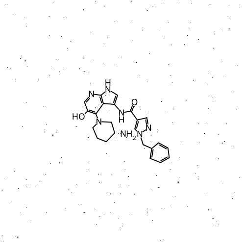 N[C@@H]1CCCN(c2c(O)cnc3[nH]cc(NC(=O)c4cnn(Cc5ccccc5)c4)c23)C1